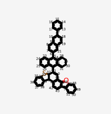 C1=C(c2c3c(c(-c4ccc5cc(-c6ccccc6)ccc5c4)c4ccccc24)=CCCC=3)C2Sc3ccccc3C2c2ccc3c(oc4ccccc43)c21